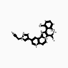 N#CCn1cc(-c2cnc3ccn4c(C(F)F)c(-c5c(Cl)cccc5Cl)nc4c3c2)cn1